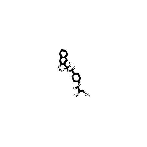 CCC(C)C(=O)OC1CCC(C(=O)OC(C)(C)c2cc3ccccc3cc2Br)CC1